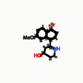 COc1ccc2c(Br)ccc([C@@H]3CC(O)CCN3)c2c1